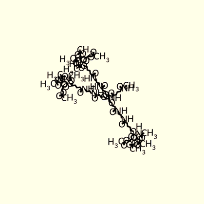 CNC(=O)CCCC(=O)NC(COCCC(=O)NCCCNC(=O)CCCCO[C@@H]1OC(COC(C)=O)[C@H](OC(C)=O)C(OC(C)=O)[C@@H]1NC(C)=O)(COCCC(=O)NCCCNC(=O)CCCCO[C@@H]1OC(COC(C)=O)[C@H](OC(C)=O)C(OC(C)=O)[C@@H]1NC(C)=O)COCCC(=O)NCCCNC(=O)CCCCO[C@@H]1OC(COC(C)=O)[C@H](OC(C)=O)C(OC(C)=O)[C@@H]1NC(C)=O